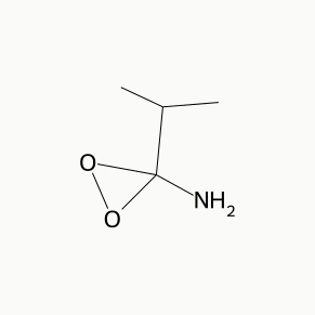 CC(C)C1(N)OO1